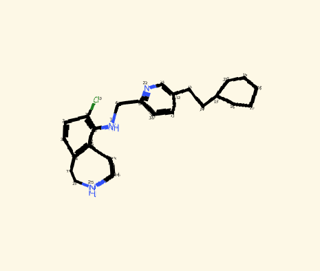 Clc1ccc2c(c1NCc1ccc(CCC3CCCCC3)cn1)CCNCC2